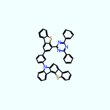 C1=C=c2c(sc3c(-c4nc(-c5ccccc5)nc(-c5ccccc5)n4)cc(-c4cccc(-n5c6ccccc6c6c7sc8ccccc8c7ccc65)c4)cc23)=CC=1